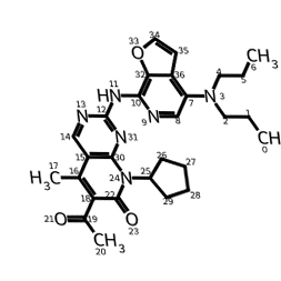 CCCN(CCC)c1cnc(Nc2ncc3c(C)c(C(C)=O)c(=O)n(C4CCCC4)c3n2)c2occc12